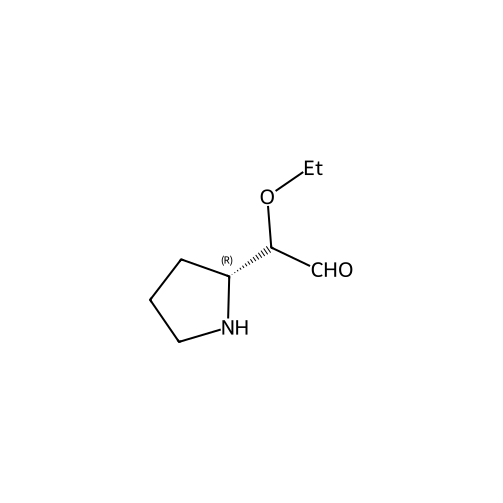 CCOC(C=O)[C@H]1CCCN1